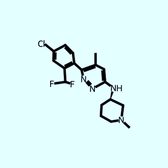 Cc1cc(N[C@@H]2CCCN(C)C2)nnc1-c1ccc(Cl)cc1C(F)F